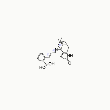 C/C=C1\C2C=C(C)CC1(/N=C/C=C/c1ccccc1N(O)O)c1ccc(=O)[nH]c1C2